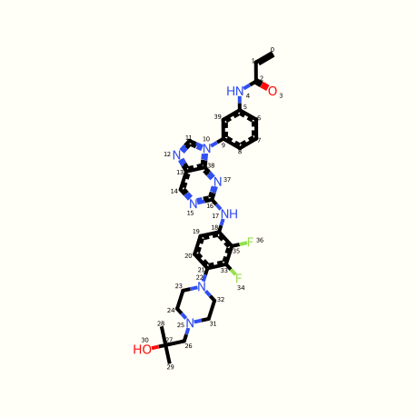 C=CC(=O)Nc1cccc(-n2cnc3cnc(Nc4ccc(N5CCN(CC(C)(C)O)CC5)c(F)c4F)nc32)c1